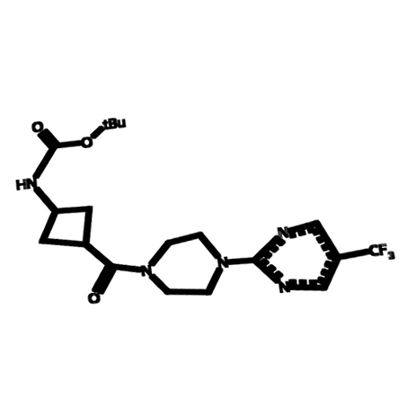 CC(C)(C)OC(=O)NC1CC(C(=O)N2CCN(c3ncc(C(F)(F)F)cn3)CC2)C1